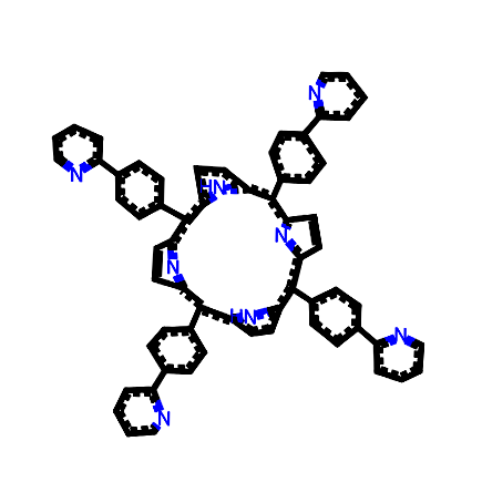 C1=Cc2nc1c(-c1ccc(-c3ccccn3)cc1)c1ccc([nH]1)c(-c1ccc(-c3ccccn3)cc1)c1nc(c(-c3ccc(-c4ccccn4)cc3)c3ccc([nH]3)c2-c2ccc(-c3ccccn3)cc2)C=C1